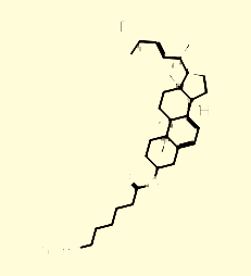 CCCCCCCCCCCCCCCC(=O)OC1CC[C@@]2(C)C(=CC=C3[C@@H]4CC[C@H]([C@H](C)C=C[C@H](C)C(C)C)[C@@]4(C)CC[C@@H]32)C1